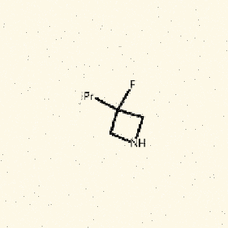 CC(C)C1(F)CNC1